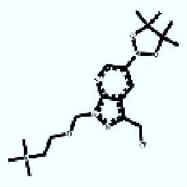 CC1(C)OB(c2cnc3c(c2)c(CC(F)(F)F)nn3COCC[Si](C)(C)C)OC1(C)C